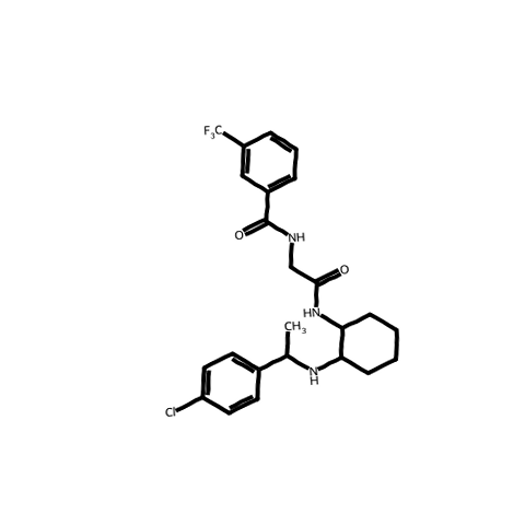 CC(NC1CCCCC1NC(=O)CNC(=O)c1cccc(C(F)(F)F)c1)c1ccc(Cl)cc1